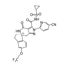 N#Cc1ccc(-n2nc3c(c2C(=O)NS(=O)(=O)C2CC2)C(=O)N[C@@]2(CCc4cc(OCC(F)(F)F)ccc42)C3)nc1